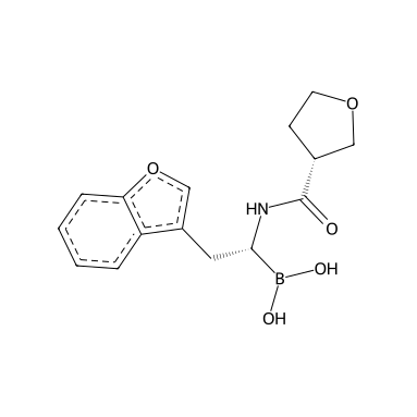 O=C(N[C@@H](Cc1coc2ccccc12)B(O)O)[C@@H]1CCOC1